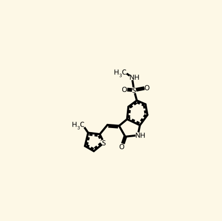 CNS(=O)(=O)c1ccc2c(c1)C(=Cc1sccc1C)C(=O)N2